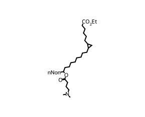 CCCCCCCCCC(CCCCCCCCC1CC1CCCCCC(=O)OCC)OC(=O)CCCN(C)C